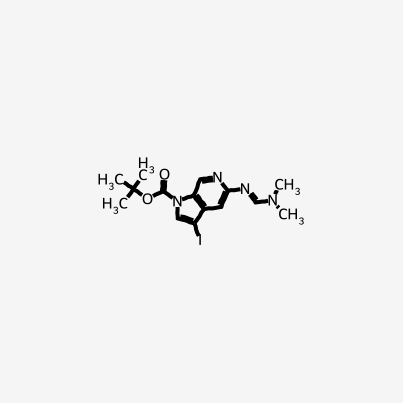 CN(C)C=Nc1cc2c(I)cn(C(=O)OC(C)(C)C)c2cn1